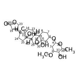 COC1CC(OC2CCC3(C=O)[C@H]4CCC5(C)C(C6=CC(=O)OC6)CCC5(O)[C@@H]4CCC3(O)C2)OC(C)C1O